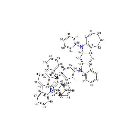 C1=Cc2c(c3cc4c5ccccc5n(-c5ccc([Si](c6ccccc6)(c6ccccc6)c6cccc7c8ccccc8n(-c8ccccc8)c67)cc5)c4cc3n2-c2ccccc2)CCC1